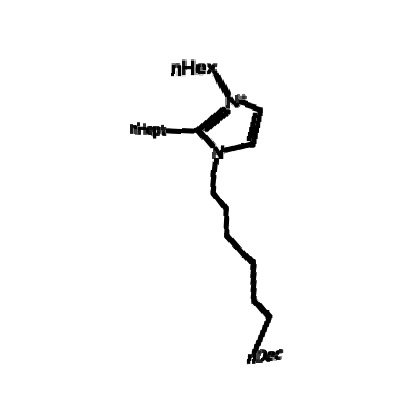 CCCCCCCCCCCCCCCCn1cc[n+](CCCCCC)c1CCCCCCC